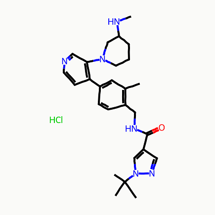 CNC1CCCN(c2cnccc2-c2ccc(CNC(=O)c3cnn(C(C)(C)C)c3)c(C)c2)C1.Cl